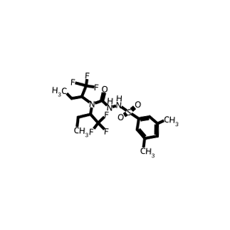 CCC(N(C(=O)NNS(=O)(=O)c1cc(C)cc(C)c1)C(CC)C(F)(F)F)C(F)(F)F